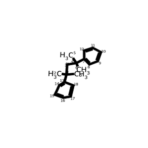 CC(C)([C]C(C)(C)c1ccccc1)c1ccccc1